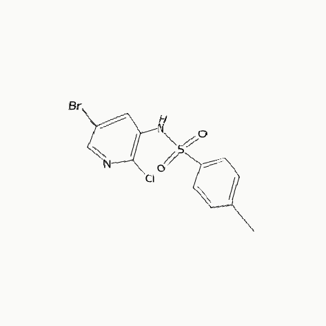 Cc1ccc(S(=O)(=O)Nc2cc(Br)cnc2Cl)cc1